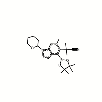 Cc1cc2c(cnn2C2CCCCO2)c(B2OC(C)(C)C(C)(C)O2)c1C(C)(C)C#N